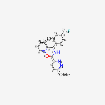 COc1ccc(C(=O)N[C@@H](c2ccc(CF)cc2)c2ncccc2C(F)(F)F)nn1